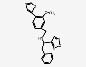 COc1cc(CNC(Cc2ccccc2)c2cnon2)ccc1-c1cnco1